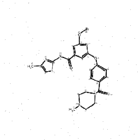 Cc1csc(NC(=O)c2cc(Oc3ccc(C(=O)N4CCN(C)CC4)cc3)nc(OC(C)C)c2)n1